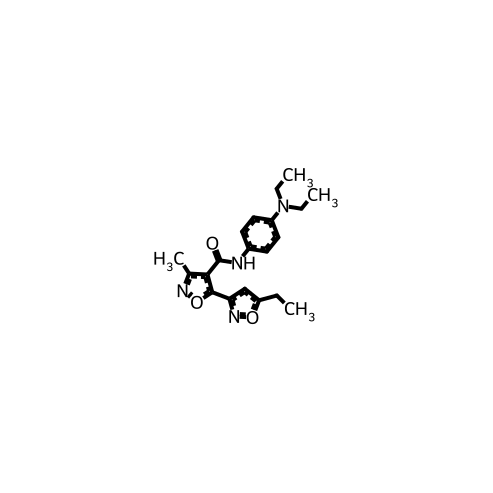 CCc1cc(-c2onc(C)c2C(=O)Nc2ccc(N(CC)CC)cc2)no1